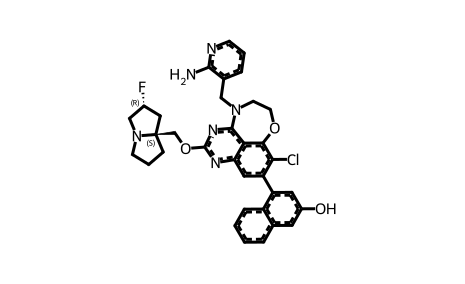 Nc1ncccc1CN1CCOc2c(Cl)c(-c3cc(O)cc4ccccc34)cc3nc(OC[C@@]45CCCN4C[C@H](F)C5)nc1c23